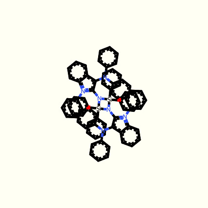 c1ccc(N(c2ccccc2)c2c(N3[Si](c4ccccc4)(c4ccccc4)N(c4c(N(c5ccccc5)c5ccccc5)c5ccccc5n4-c4ccccc4)[Si]3(c3ccccc3)c3ccccc3)n(-c3ccccc3)c3ccccc23)cc1